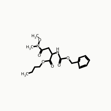 CCCCOC(=O)C(CC(=O)N(C)OC)NC(=O)OCc1ccccc1